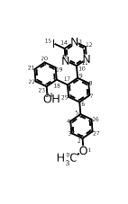 COc1ccc(-c2ccc(-c3ncnc(I)n3)c(-c3ccccc3O)c2)cc1